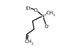 C=CCC[N+](C)([O-])OCC